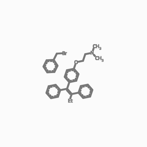 BrCc1ccccc1.CC/C(=C(\c1ccccc1)c1ccc(OCCN(C)C)cc1)c1ccccc1